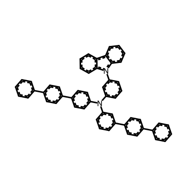 c1ccc(-c2ccc(-c3ccc(N(c4cccc(-c5ccc(-c6ccccc6)cc5)c4)c4cccc(-n5c6ccccc6c6ccccc65)c4)cc3)cc2)cc1